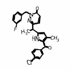 Cc1cc(C(C)c2ccc(=O)n(Cc3cccc(F)c3)n2)[nH]c1C(=O)c1ccc(Cl)cc1